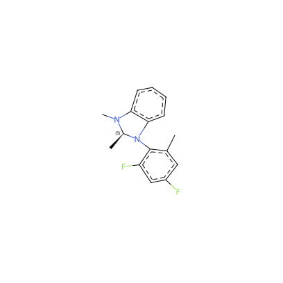 Cc1cc(F)cc(F)c1N1c2ccccc2N(C)[C@@H]1C